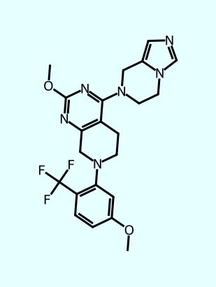 COc1ccc(C(F)(F)F)c(N2CCc3c(nc(OC)nc3N3CCn4cncc4C3)C2)c1